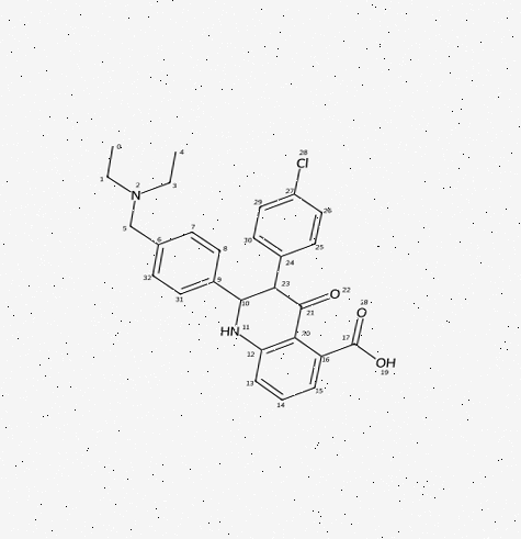 CCN(CC)Cc1ccc(C2Nc3cccc(C(=O)O)c3C(=O)C2c2ccc(Cl)cc2)cc1